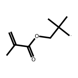 [CH2]C(C)(C)COC(=O)C(=C)C